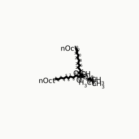 CCCCCCCCC=CCCCCCCCC(=O)C(C)([P-]OCC[N+](C)(C)C)C(=O)CCCCCCCC=CCCCCCCCC